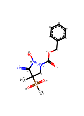 CC(CNC(=O)OCc1ccccc1)(C(=N)NO)S(C)(=O)=O